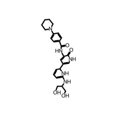 O=C(Nc1cc(C2C=CC=C(NC(CO)CO)N2)c[nH]c1=O)c1ccc(N2CCCCC2)cc1